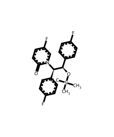 C[Si](C)(C)O[C@H](c1ccc(F)cc1)[C@@H](c1ccc(F)cc1)n1cc(F)ccc1=O